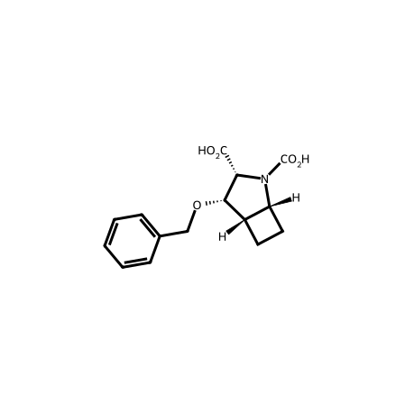 O=C(O)[C@H]1[C@@H](OCc2ccccc2)[C@H]2CC[C@H]2N1C(=O)O